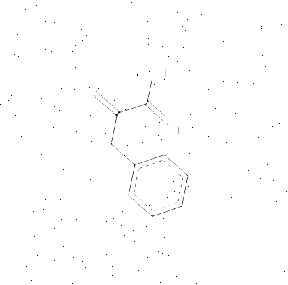 C=C(Cc1ccccc1)C(=O)O.Cl